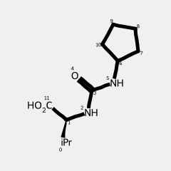 CC(C)[C@H](NC(=O)NC1CCCC1)C(=O)O